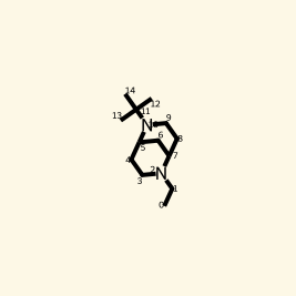 CCN1CCC2CC1CCN2C(C)(C)C